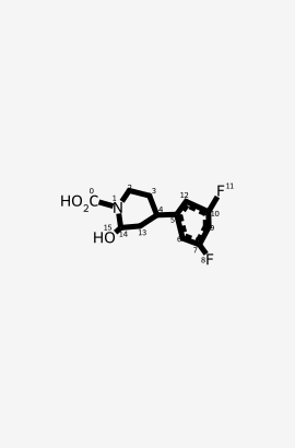 O=C(O)N1CCC(c2cc(F)cc(F)c2)CC1O